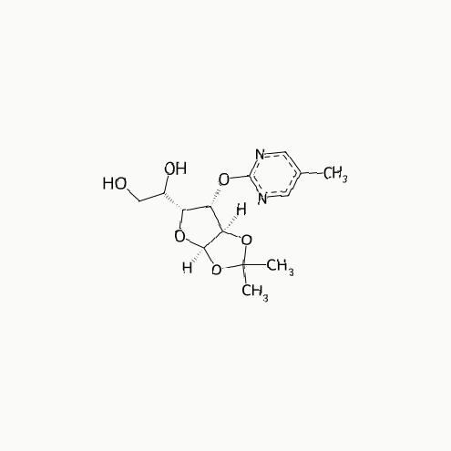 Cc1cnc(O[C@@H]2[C@H]3OC(C)(C)O[C@H]3O[C@@H]2C(O)CO)nc1